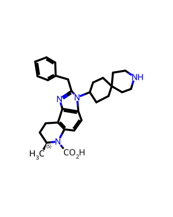 C[C@H]1CCc2c(ccc3c2nc(Cc2ccccc2)n3C2CCC3(CCNCC3)CC2)N1C(=O)O